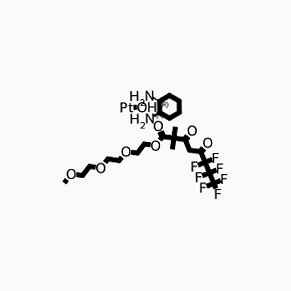 COCCOCCOCCOC(=O)C(C)(C)C(=O)CC(=O)C(F)(F)C(F)(F)C(F)(F)F.N[C@@H]1CCCC[C@H]1N.[OH][Pt]